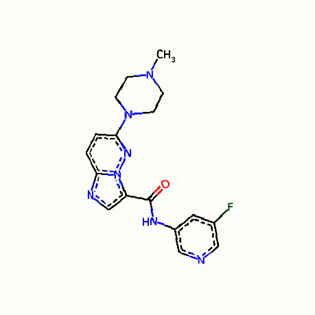 CN1CCN(c2ccc3ncc(C(=O)Nc4cncc(F)c4)n3n2)CC1